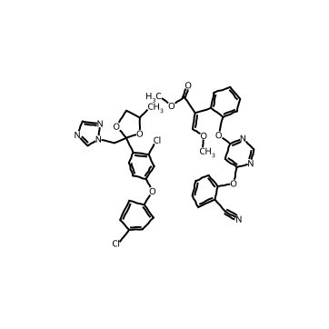 CC1COC(Cn2cncn2)(c2ccc(Oc3ccc(Cl)cc3)cc2Cl)O1.CO/C=C(/C(=O)OC)c1ccccc1Oc1cc(Oc2ccccc2C#N)ncn1